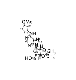 COC1CCC(Nc2ncnc3c2ncn3[C@@H]2O[C@H](CO)[C@H]3OC(C)(C)O[C@H]32)C1